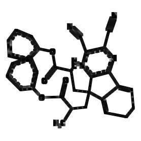 CC(CC1(CC(C)C(=O)Oc2ccccc2)C2=CCCC=C2c2nc(C#N)c(C#N)nc21)C(=O)Oc1ccccc1